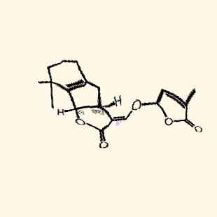 CC1=CC(O/C=C2/C(=O)O[C@@H]3C4=C(CCCC4(C)C)C[C@H]23)OC1=O